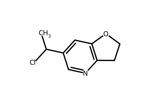 CC(Cl)c1cnc2c(c1)OCC2